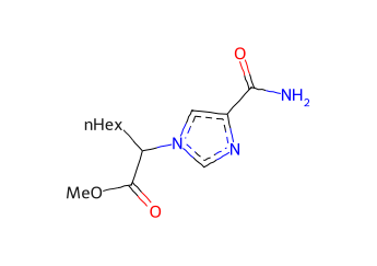 CCCCCCC(C(=O)OC)n1cnc(C(N)=O)c1